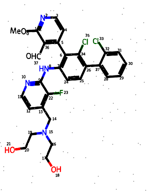 COc1nccc(-c2c(Nc3nccc(CN(CCO)CCO)c3F)ccc(-c3ccccc3Cl)c2Cl)c1C=O